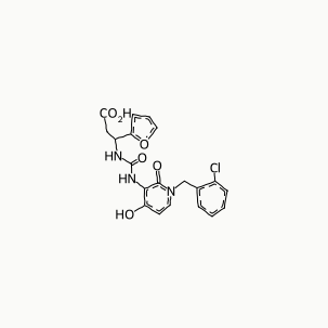 O=C(O)CC(NC(=O)Nc1c(O)ccn(Cc2ccccc2Cl)c1=O)c1ccco1